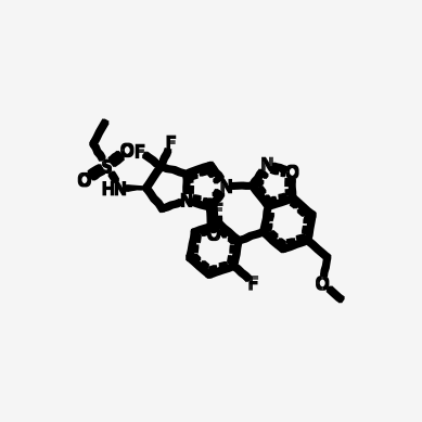 CCS(=O)(=O)N[C@@H]1Cn2c(cn(-c3noc4cc(COC)cc(-c5c(F)cccc5F)c34)c2=O)C1(F)F